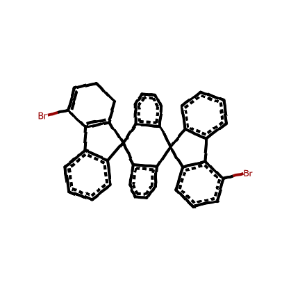 BrC1=CCCC2=C1c1ccccc1C21c2ccccc2C2(c3ccccc3-c3c(Br)cccc32)c2ccccc21